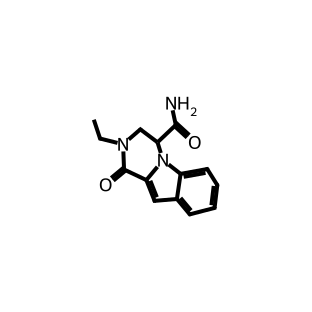 CCN1CC(C(N)=O)n2c(cc3ccccc32)C1=O